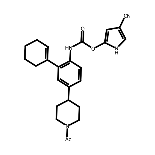 CC(=O)N1CCC(c2ccc(NC(=O)Oc3cc(C#N)c[nH]3)c(C3=CCCCC3)c2)CC1